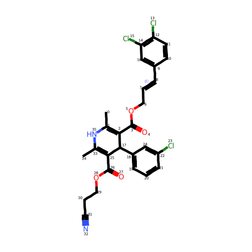 CC1=C(C(=O)OC/C=C/c2ccc(Cl)c(Cl)c2)C(c2cccc(Cl)c2)C(C(=O)OCCC#N)=C(C)N1